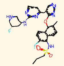 CCCS(=O)(=O)Nc1c(F)ccc2c(Oc3ncncc3-c3ccnc(N[C@@H]4CNC[C@@H](F)C4)n3)c(C)ccc12